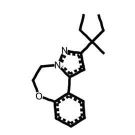 CCC(C)(CC)c1cc2n(n1)CCOc1ccccc1-2